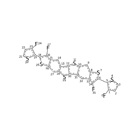 Fc1ccsc1-c1sc2cc3sc4c5cc6c(F)c(-c7sccc7F)sc6cc5sc4c3cc2c1F